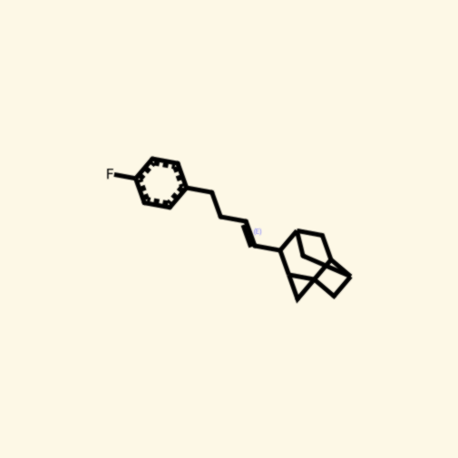 Fc1ccc(CC/C=C/C2C3CC4CC5(CC25)C4C3)cc1